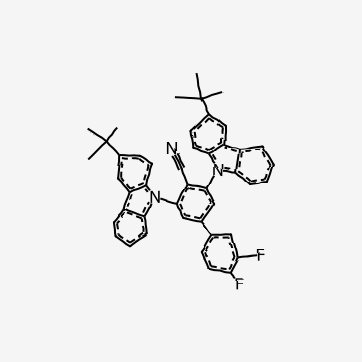 CC(C)(C)c1ccc2c(c1)c1ccccc1n2-c1cc(-c2ccc(F)c(F)c2)cc(-n2c3ccccc3c3cc(C(C)(C)C)ccc32)c1C#N